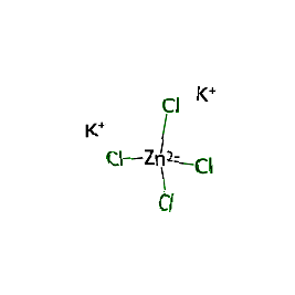 [Cl][Zn-2]([Cl])([Cl])[Cl].[K+].[K+]